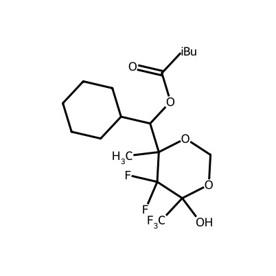 CCC(C)C(=O)OC(C1CCCCC1)C1(C)OCOC(O)(C(F)(F)F)C1(F)F